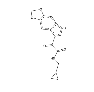 O=C(NCC1CC1)C(=O)c1c[nH]c2cc3c(cc12)OCO3